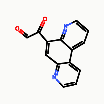 O=CC(=O)c1cc2ncccc2c2cccnc12